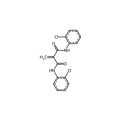 C=C(C(=O)Nc1ccccc1Cl)C(=O)Nc1ccccc1Cl